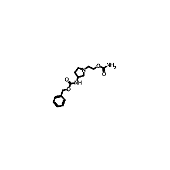 NC(=O)OCCN1CCC(NC(=O)OCc2ccccc2)C1